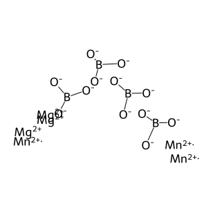 [Mg+2].[Mg+2].[Mg+2].[Mn+2].[Mn+2].[Mn+2].[O-]B([O-])[O-].[O-]B([O-])[O-].[O-]B([O-])[O-].[O-]B([O-])[O-]